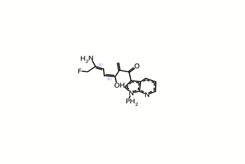 C=C(C(=O)c1cn(P)c2ncccc12)/C(O)=C\C=C(\N)CF